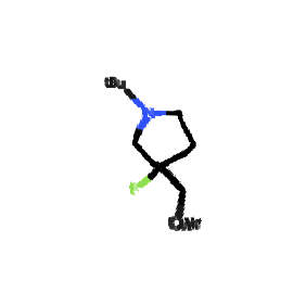 COCC1(F)CCN(C(C)(C)C)C1